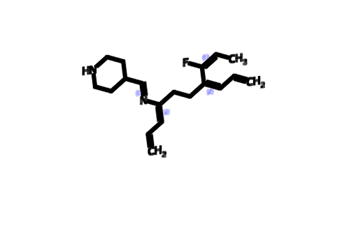 C=C/C=C(CCC(=C/C=C)/C(F)=C\C)\N=C\C1CCNCC1